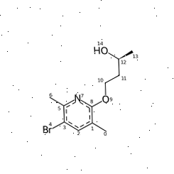 Cc1cc(Br)c(C)nc1OCC[C@H](C)O